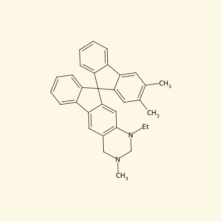 CCN1CN(C)Cc2cc3c(cc21)C1(c2ccccc2-c2cc(C)c(C)cc21)c1ccccc1-3